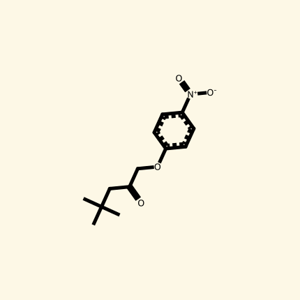 CC(C)(C)CC(=O)COc1ccc([N+](=O)[O-])cc1